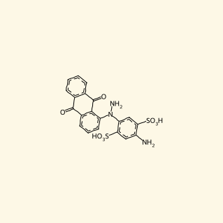 Nc1cc(S(=O)(=O)O)c(N(N)c2cccc3c2C(=O)c2ccccc2C3=O)cc1S(=O)(=O)O